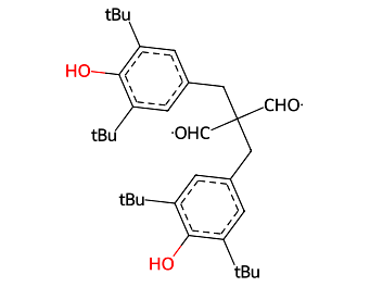 CC(C)(C)c1cc(CC([C]=O)([C]=O)Cc2cc(C(C)(C)C)c(O)c(C(C)(C)C)c2)cc(C(C)(C)C)c1O